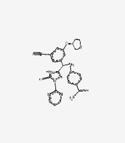 C#Cc1cc(O[C@H]2CCOC2)cc(C(Nc2ccc(C(=N)N)cc2)c2nn(-c3ncccn3)c(=O)[nH]2)c1